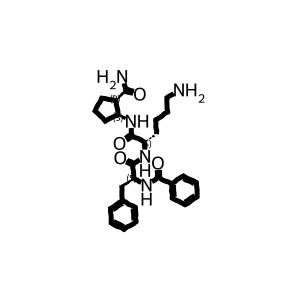 NCCCC[C@H](NC(=O)[C@H](Cc1ccccc1)NC(=O)c1ccccc1)C(=O)N[C@H]1CCC[C@H]1C(N)=O